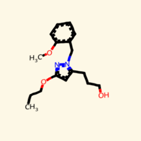 CCCOc1cc(CCCO)n(Cc2ccccc2OC)n1